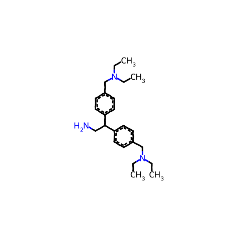 CCN(CC)Cc1ccc(C(CN)c2ccc(CN(CC)CC)cc2)cc1